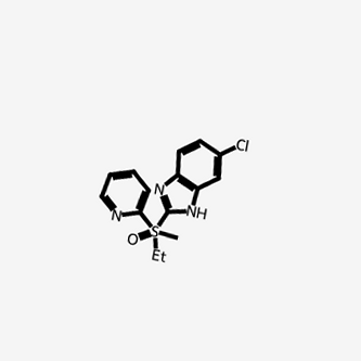 CCS(C)(=O)(c1ccccn1)c1nc2ccc(Cl)cc2[nH]1